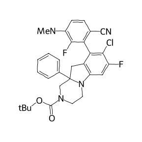 CNc1ccc(C#N)c(-c2c(Cl)c(F)cc3c2CC2(c4ccccc4)CN(C(=O)OC(C)(C)C)CCN32)c1F